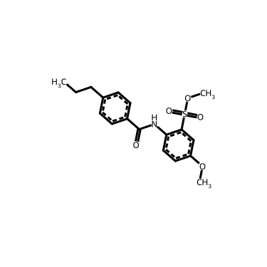 CCCc1ccc(C(=O)Nc2ccc(OC)cc2S(=O)(=O)OC)cc1